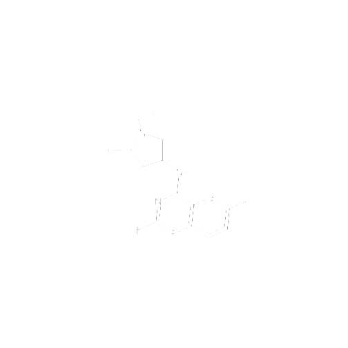 CC(C)(C)C1CC(Nc2nc(Cl)cc3ccc(F)cc23)CN1C(=O)O